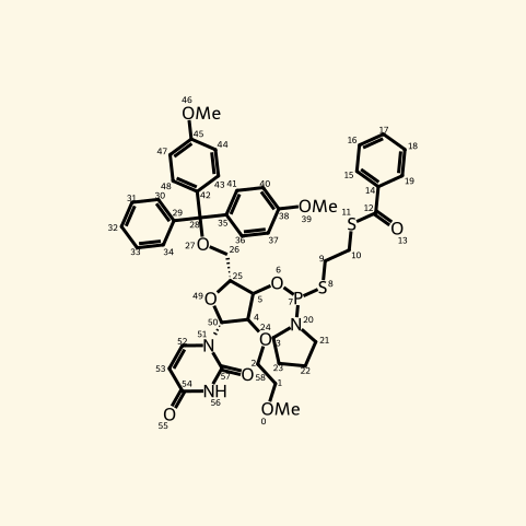 COCCOC1C(OP(SCCSC(=O)c2ccccc2)N2CCCC2)[C@@H](COC(c2ccccc2)(c2ccc(OC)cc2)c2ccc(OC)cc2)O[C@H]1n1ccc(=O)[nH]c1=O